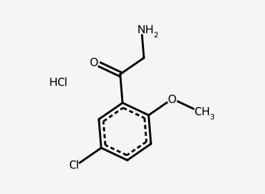 COc1ccc(Cl)cc1C(=O)CN.Cl